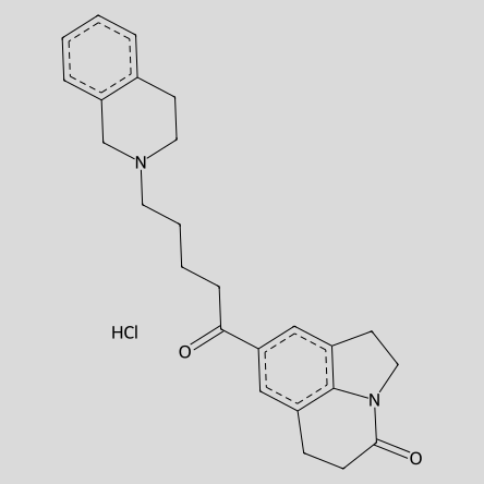 Cl.O=C(CCCCN1CCc2ccccc2C1)c1cc2c3c(c1)CCN3C(=O)CC2